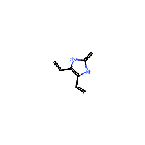 C=CC1=C(C=C)NC(=C)N1